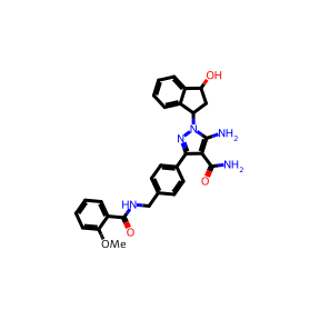 COc1ccccc1C(=O)NCc1ccc(-c2nn(C3CC(O)c4ccccc43)c(N)c2C(N)=O)cc1